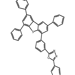 c1ccc(-c2cc(-c3ccccc3)c3sc4c(-c5cccc(-c6nnc(-c7ccccc7)o6)c5)cc(-c5ccccc5)cc4c3c2)cc1